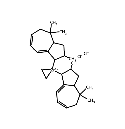 CC1CC2C(=CC=CCC2(C)C)[CH]1[Zr+2]1([CH]2C3=CC=CCC(C)(C)C3CC2C)[CH2][CH2]1.[Cl-].[Cl-]